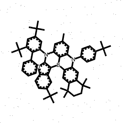 Cc1cc2c3c(c1)N(c1cc(C(C)(C)C)cc(C(C)(C)C)c1-c1ccccc1)c1oc4ccc(C(C)(C)C)cc4c1B3c1cc3c(cc1N2c1ccc(C(C)(C)C)cc1)C(C)(C)CCC3(C)C